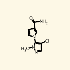 Cn1ncc(Cl)c1-n1ccc(C(N)=O)c1